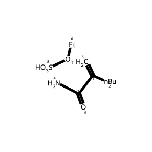 C=C(CCCC)C(N)=O.CCOS(=O)(=O)O